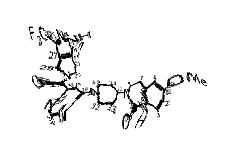 COc1ccc2c(c1)CCN(C1CCN(c3cc(C(=O)N4CCc5[nH]nc(C(F)(F)F)c5C4)ncn3)CC1)C(=O)N2